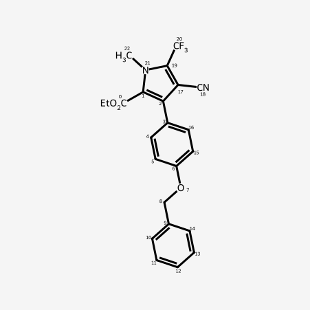 CCOC(=O)c1c(-c2ccc(OCc3ccccc3)cc2)c(C#N)c(C(F)(F)F)n1C